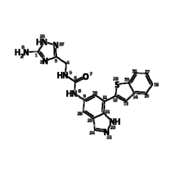 Nc1nc(CNC(=O)Nc2cc(-c3cc4ccccc4s3)c3[nH]ncc3c2)n[nH]1